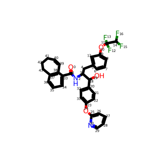 O=C(NC(Cc1cccc(OC(F)(F)C(F)F)c1)C(O)c1ccc(Oc2ccccn2)cc1)c1cccc2c1C=CCCC2